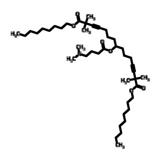 CCCCCCCCCOC(=O)C(C)(C)C#CCCCC(CCCC#CC(C)(C)C(=O)OCCCCCCCCC)OC(=O)CCCN(C)C